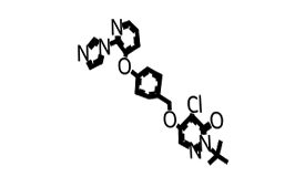 CC(C)(C)n1ncc(OCc2ccc(Oc3cccnc3-n3ccnc3)cc2)c(Cl)c1=O